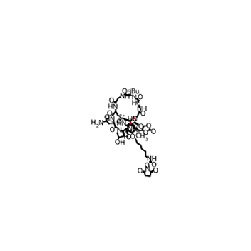 CC[C@H](C)[C@@H]1NC(=O)CNC(=O)C2Cc3c([nH]c4cc(OCCCCCCNC(=O)ON5C(=O)CCC5=O)ccc34)[S@@+]([O-])CC(NC(=O)CNC1=O)C(=O)N[C@@H](CC(N)=O)C(=O)N1CC(O)C[C@H]1C(=O)N[C@@H]([C@@H](C)C1COC(=O)O1)C(=O)N2